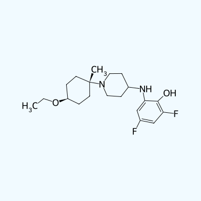 CCO[C@H]1CC[C@](C)(N2CCC(Nc3cc(F)cc(F)c3O)CC2)CC1